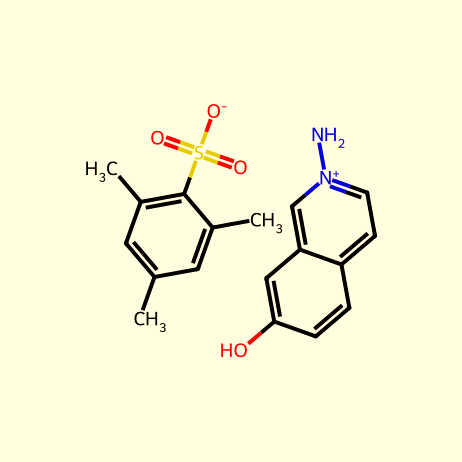 Cc1cc(C)c(S(=O)(=O)[O-])c(C)c1.N[n+]1ccc2ccc(O)cc2c1